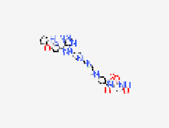 Nc1ncnc2c1c(-c1ccc(Oc3ccccc3)cc1)nn2C1CCN(C2CN(CC3(F)CN(c4cc5c(cc4F)C(=O)N(C4CCC(=O)NC4=O)C5=O)C3)C2)CC1